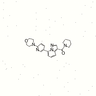 O=C(c1cnn2c(-c3ccc(N4CCOCC4)nc3)cccc12)N1CCCCC1